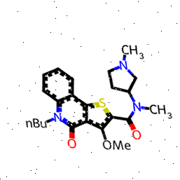 CCCCn1c(=O)c2c(OC)c(C(=O)N(C)C3CCN(C)C3)sc2c2ccccc21